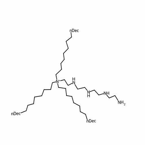 CCCCCCCCCCCCCCCCCC[N+](CCCCCCCCCCCCCCCCCC)(CCCCCCCCCCCCCCCCCC)CCNCCNCCNCCN